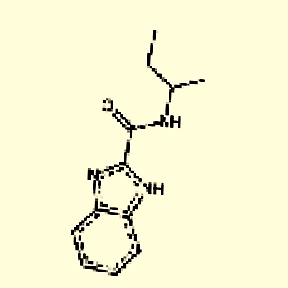 CCC(C)NC(=O)c1nc2ccccc2[nH]1